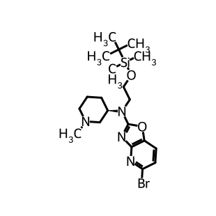 CN1CCC[C@@H](N(CCO[Si](C)(C)C(C)(C)C)c2nc3nc(Br)ccc3o2)C1